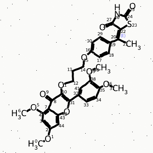 COc1cc(OC)c2c(=O)c(OCCCOc3ccc(/C(C)=C4/SC(=O)NC4=O)cc3)c(-c3ccc(OC)c(OC)c3)oc2c1